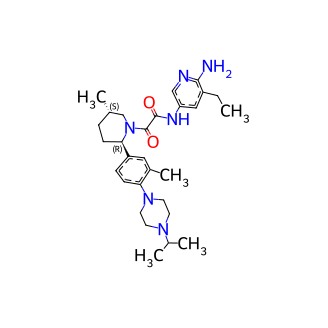 CCc1cc(NC(=O)C(=O)N2C[C@@H](C)CC[C@@H]2c2ccc(N3CCN(C(C)C)CC3)c(C)c2)cnc1N